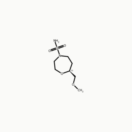 COC[C@@H]1CCN(S(N)(=O)=O)CCO1